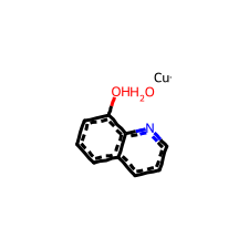 O.Oc1cccc2cccnc12.[Cu]